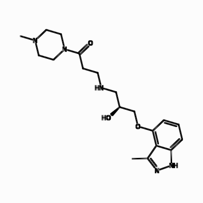 Cc1n[nH]c2cccc(OC[C@@H](O)CNCCC(=O)N3CCN(C)CC3)c12